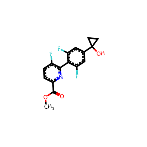 COC(=O)c1ccc(F)c(-c2c(F)cc(C3(O)CC3)cc2F)n1